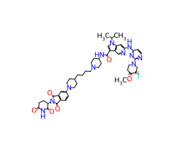 CO[C@@H]1CCN(c2nccc(Nc3cc4c(cn3)c(C(=O)NC3CCN(CCCCC5CCN(c6ccc7c(c6)C(=O)N(C6CCC(=O)NC6=O)C7=O)CC5)CC3)cn4C(C)C)n2)C[C@@H]1F